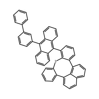 c1ccc(-c2cccc(-c3c4ccccc4c(-c4cccc5c4Sc4ccccc4-c4cccc6cccc-5c46)c4ccccc34)c2)cc1